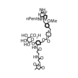 CCCCCNc1nc(N)nc2ccn(Cc3ccc(CN4CCN(C(=O)OCc5ccc(OC6O[C@@H](C(=O)O)[C@H](O)[C@@H](O)[C@@H]6O)c(NC(=O)CCNC(=O)CCN6C(=O)CC(C)C6=O)c5)CC4)cc3OC)c12